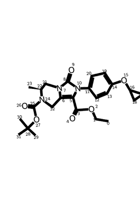 CCOC(=O)c1c2n(c(=O)n1-c1ccc(OC3CC3)cc1)C[C@H](C)N(C(=O)OC(C)(C)C)C2